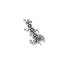 CCC(CC)(c1ccc(CCC(O[Si](C)(C)C(C)(C)C)C(C)(C)C)c(C)c1)c1ccc(-c2ccc(C(=O)C(C)=O)cc2)c(C)c1